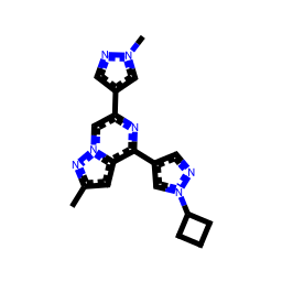 Cc1cc2c(-c3cnn(C4CCC4)c3)nc(-c3cnn(C)c3)cn2n1